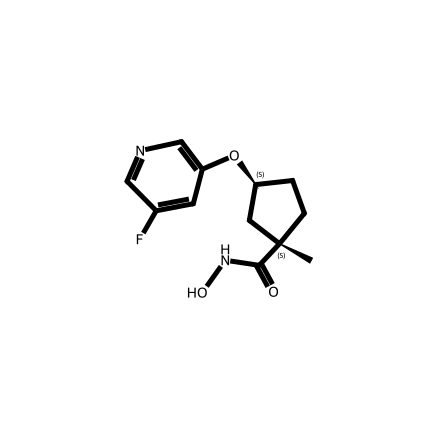 C[C@]1(C(=O)NO)CC[C@H](Oc2cncc(F)c2)C1